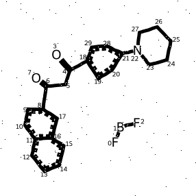 F[B]F.O=C(CC(=O)c1ccc2ccccc2c1)c1ccc(N2CCCCC2)cc1